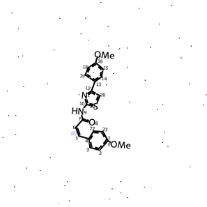 COc1ccc(/C=C\C(=O)Nc2nc(-c3ccc(OC)cc3)cs2)cc1